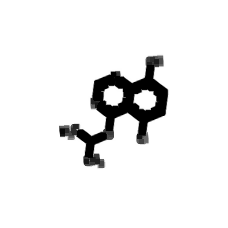 CC(C)Oc1ncnc2c(O)ccc(Cl)c12